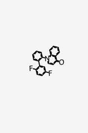 O=c1ccn(-c2ccccc2-c2cc(F)ccc2F)c2ccccc12